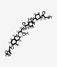 Cc1c(OCc2cnco2)ccc2c1CCN(CC(O)CNC(=O)c1ccnc(NC3CCN(C(=O)CC(C)C)CC3)c1)C2